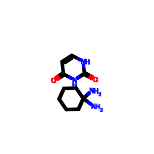 NC1(N)CCCCC1.O=c1cc[nH]c(=O)[nH]1